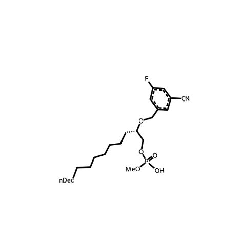 CCCCCCCCCCCCCCCCC[C@@H](COP(=O)(O)OC)OCc1cc(F)cc(C#N)c1